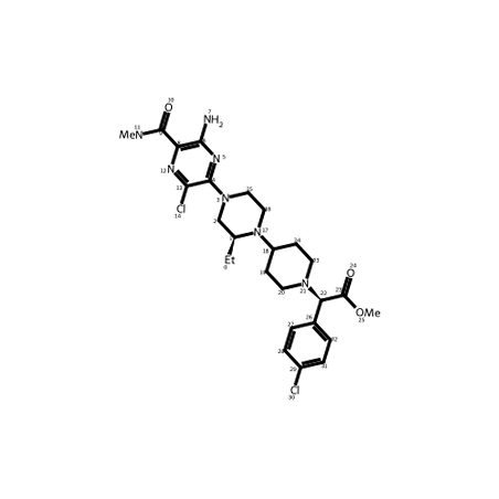 CC[C@H]1CN(c2nc(N)c(C(=O)NC)nc2Cl)CCN1C1CCN([C@@H](C(=O)OC)c2ccc(Cl)cc2)CC1